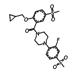 CS(=O)(=O)c1ccc(N2CCN(C(=O)c3cc(S(C)(=O)=O)ccc3OCC3CC3)CC2)c(F)c1